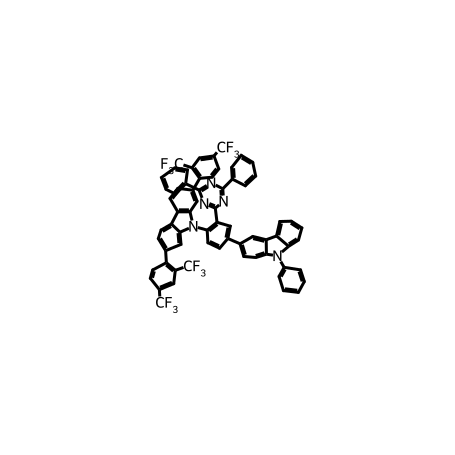 FC(F)(F)c1ccc(-c2ccc3c4ccc(-c5ccc(C(F)(F)F)cc5C(F)(F)F)cc4n(-c4ccc(-c5ccc6c(c5)c5ccccc5n6-c5ccccc5)cc4-c4nc(-c5ccccc5)nc(-c5ccccc5)n4)c3c2)c(C(F)(F)F)c1